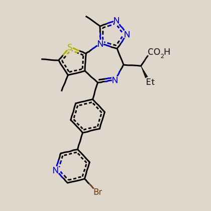 CC[C@H](C(=O)O)C1N=C(c2ccc(-c3cncc(Br)c3)cc2)c2c(sc(C)c2C)-n2c(C)nnc21